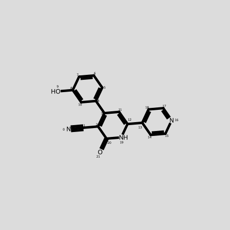 N#Cc1c(-c2cccc(O)c2)cc(-c2ccncc2)[nH]c1=O